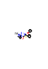 N#CN1CC2CC[C@]2(NC(=O)c2ncc(-c3ccccc3Oc3ccccc3)s2)C1